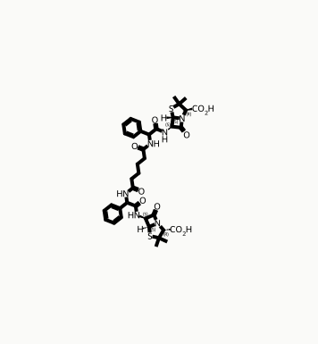 CC1(C)S[C@H]2[C@@H](NC(=O)C(NC(=O)CCCCC(=O)NC(C(=O)N[C@H]3C(=O)N4[C@H]3SC(C)(C)[C@H]4C(=O)O)c3ccccc3)c3ccccc3)C(=O)N2[C@@H]1C(=O)O